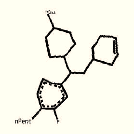 CCCCCc1ccc(C(CC2CC=CCC2)C2CCC(CCCC)CC2)cc1F